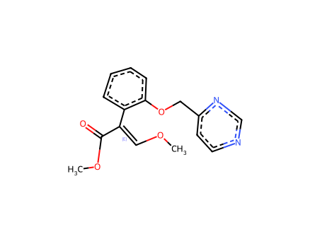 CO/C=C(/C(=O)OC)c1ccccc1OCc1ccncn1